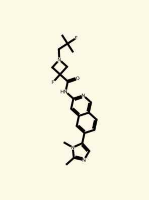 Cc1ncc(-c2ccc3cnc(NC(=O)C4(F)CN(CC(C)(C)F)C4)cc3c2)n1C